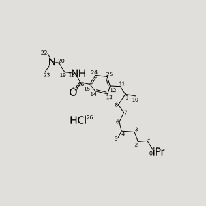 CC(C)CCCC(C)CCCC(C)Cc1ccc(C(=O)NCCN(C)C)cc1.Cl